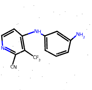 N#Cc1nccc(Nc2cccc(N)c2)c1C(F)(F)F